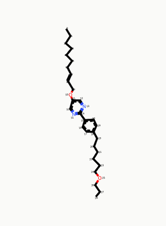 CCCCCCCC=CCOc1cnc(-c2ccc(CCCCCCOCCC)cc2)nc1